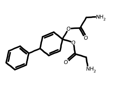 NCC(=O)OC1(OC(=O)CN)C=CC(c2ccccc2)C=C1